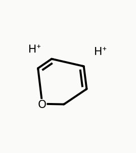 C1=CCOC=C1.[H+].[H+]